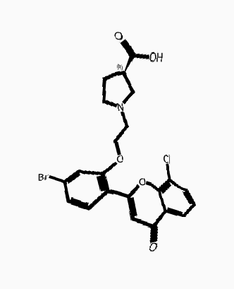 O=C(O)[C@@H]1CCN(CCOc2cc(Br)ccc2-c2cc(=O)c3cccc(Cl)c3o2)C1